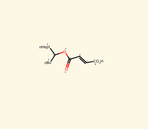 CCCCCCCC(CCCC)OC(=O)C=CC(=O)O